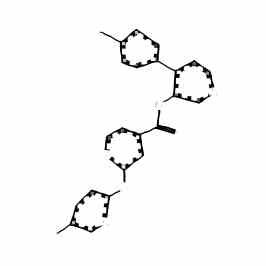 O=C(Nc1cnccc1-c1ccc(Cl)cc1)c1ccnc(Nc2ccc(Cl)cn2)c1